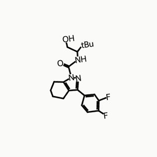 CC(C)(C)C(CO)NC(=O)n1nc(-c2ccc(F)c(F)c2)c2c1CCCC2